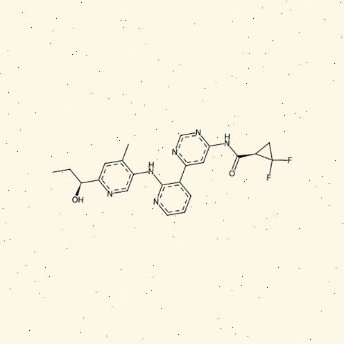 CC[C@H](O)c1cc(C)c(Nc2ncccc2-c2cc(NC(=O)[C@H]3CC3(F)F)ncn2)cn1